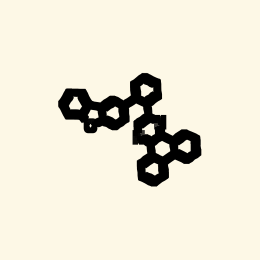 c1ccc(-c2cnc3c4ccccc4c4ccccc4c3n2)c(-c2ccc3oc4ccccc4c3c2)c1